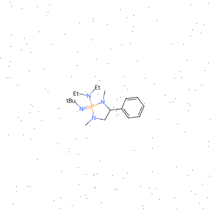 CCN(CC)P1(=NC(C)(C)C)N(C)CC(c2ccccc2)N1C